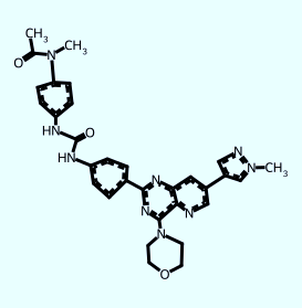 CC(=O)N(C)c1ccc(NC(=O)Nc2ccc(-c3nc(N4CCOCC4)c4ncc(-c5cnn(C)c5)cc4n3)cc2)cc1